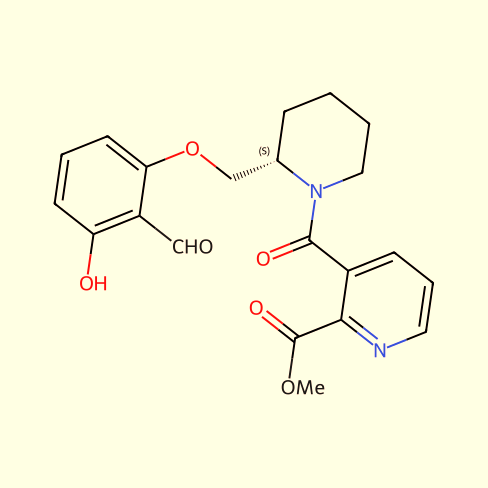 COC(=O)c1ncccc1C(=O)N1CCCC[C@H]1COc1cccc(O)c1C=O